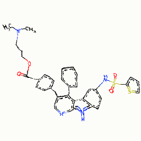 CN(C)CCCOC(=O)c1ccc(-c2cnc3[nH]c4ccc(NS(=O)(=O)c5cccs5)cc4c3c2-c2ccccc2)cc1